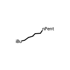 CCCCCCC[CH]CCC(C)CC